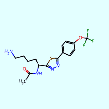 CC(=O)N[C@@H](CCCCN)c1nnc(-c2ccc(OC(F)(F)F)cc2)s1